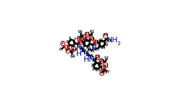 CC(=O)Oc1cccc(C(=O)NCCN(CCNC(=O)c2cccc(OC(C)=O)c2OC(C)=O)CCN(Cc2ccc(C(N)=O)cc2)C(=O)c2cccc(OC(C)=O)c2OC(C)=O)c1OC(C)=O